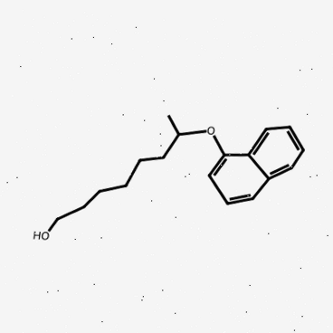 CC(CCCCCCO)Oc1cccc2ccccc12